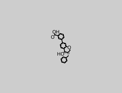 O=C(O)c1cccc(-c2ccc3c(c2)OC[C@H](Cc2ccccc2)[C@H]3O)c1